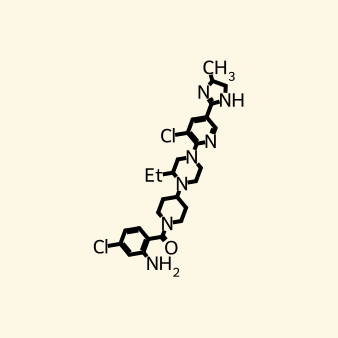 CCC1CN(c2ncc(C3=NC(C)CN3)cc2Cl)CCN1C1CCN(C(=O)c2ccc(Cl)cc2N)CC1